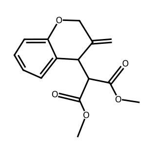 C=C1COc2ccccc2C1C(C(=O)OC)C(=O)OC